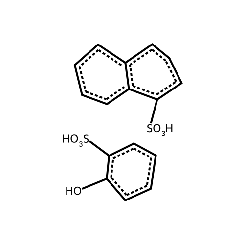 O=S(=O)(O)c1cccc2ccccc12.O=S(=O)(O)c1ccccc1O